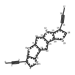 CC#Cc1csc2c1sc1cc3sc4c(C#CC)csc4c3cc12